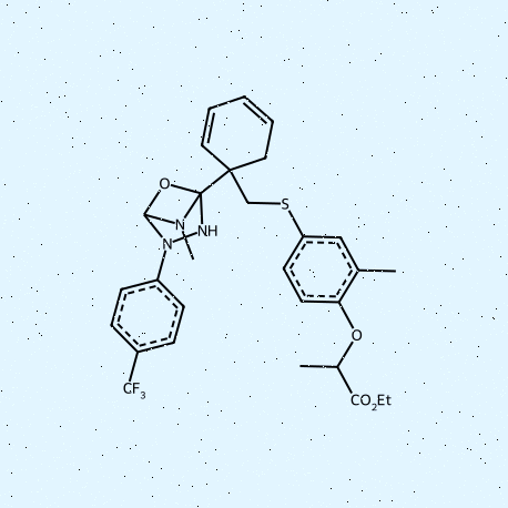 CCOC(=O)C(C)Oc1ccc(SCC2(C34NN(c5ccc(C(F)(F)F)cc5)C(O3)N4C)C=CC=CC2)cc1C